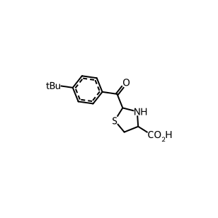 CC(C)(C)c1ccc(C(=O)C2NC(C(=O)O)CS2)cc1